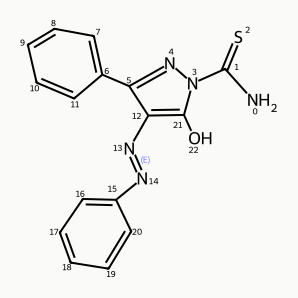 NC(=S)n1nc(-c2ccccc2)c(/N=N/c2ccccc2)c1O